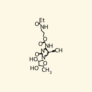 C#Cc1cn([C@@H]2O[C@H](C)[C@@H](O)[C@H]2O)c(=O)nc1NC(=O)OCCCNC(=O)CC